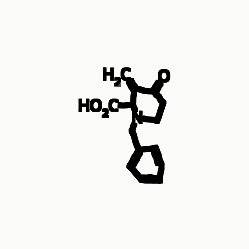 C=C1C(=O)CCN(Cc2ccccc2)C1C(=O)O